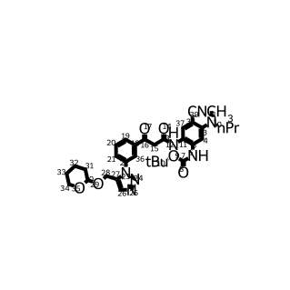 CCCN(C)c1cc(NC(=O)OC(C)(C)C)c(NC(=O)CC(=O)c2cccc(-n3nncc3COC3CCCCO3)c2)cc1C#N